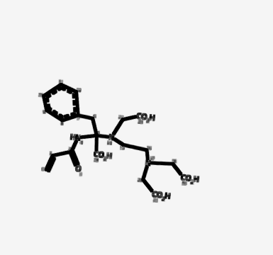 C=CC(=O)NC(Cc1ccccc1)(C(=O)O)N(CCN(CC(=O)O)CC(=O)O)CC(=O)O